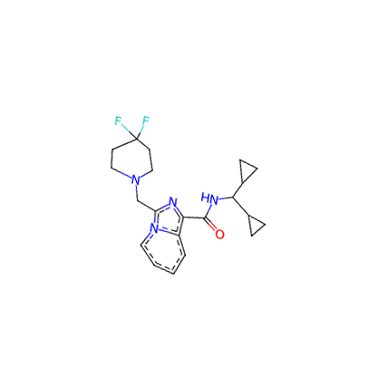 O=C(NC(C1CC1)C1CC1)c1nc(CN2CCC(F)(F)CC2)n2ccccc12